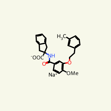 COc1ccc(C(=O)NC2(C(=O)[O-])Cc3ccccc3C2)cc1OCCc1cccc(C)c1.[Na+]